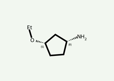 CCO[C@H]1CC[C@@H](N)C1